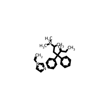 C=Cn1ccnc1.CCC(=O)C(CC(C)N(C)C)(c1ccccc1)c1ccccc1